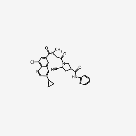 CN(CC(=O)N1CC(C(=O)Nc2ccccc2)CC1C#N)C(=O)c1cc(Cl)c2ncc(C3CC3)cc2c1